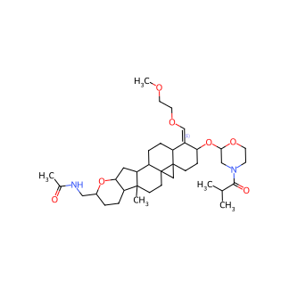 COCCO/C=C1/C(OC2CN(C(=O)C(C)C)CCO2)CCC23CC24CCC2(C)C5CCC(CNC(C)=O)OC5CC2C4CCC13